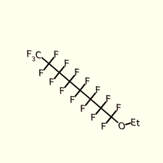 CCOC(F)(F)C(F)(F)C(F)(F)C(F)(F)C(F)(F)C(F)(F)C(F)(F)C(F)(F)F